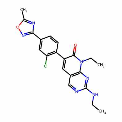 CCNc1ncc2cc(-c3ccc(-c4noc(C)n4)cc3Cl)c(=O)n(CC)c2n1